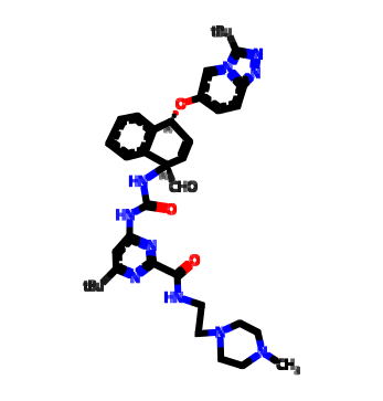 CN1CCN(CCNC(=O)c2nc(NC(=O)N[C@@]3(C=O)C=C[C@@H](Oc4ccc5nnc(C(C)(C)C)n5c4)c4ccccc43)cc(C(C)(C)C)n2)CC1